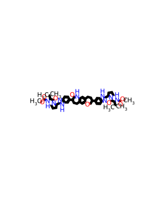 COC(=O)N[C@H](C(=O)N1CCCC1c1nc2ccc(C3CCc4cc5c(cc4NC3=O)CCC(c3ccc4nc(C6CCCN6C(=O)[C@H](NC(=O)OC)C(C)C)[nH]c4c3)CO5)cc2[nH]1)C(C)C